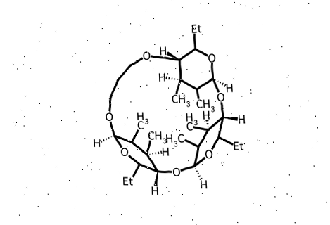 CCC1O[C@H]2O[C@@H]3C(CC)O[C@@H](O[C@@H]4C(CC)O[C@@H](OCCCO[C@H]1[C@H](C)C2C)C(C)[C@H]4C)C(C)[C@H]3C